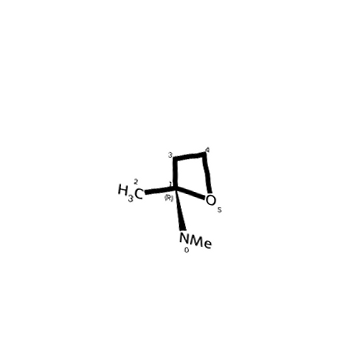 CN[C@@]1(C)CCO1